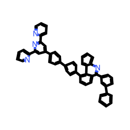 c1ccc(-c2cccc(-c3nc4ccccc4c4c(-c5ccc(-c6ccc(-c7cc(-c8ccccn8)nc(-c8ccccn8)c7)cc6)cc5)cccc34)c2)cc1